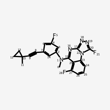 CN(c1cc(F)cc(C#CC2(C)CC2)c1)c1nc2nnc(F)n2c2cccc(F)c12